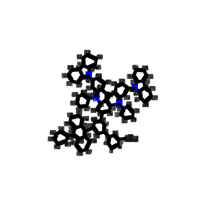 CC(C)(C)c1cccc(-c2cc(-c3cc4c5c(c3)N(c3ccccc3)c3cc(-n6c7ccccc7c7ccccc76)ccc3B5c3ccc(-n5c6ccccc6c6ccccc65)cc3N4c3ccccc3)cc(-c3c4ccccc4c(-c4ccccc4)c4ccccc34)c2)c1